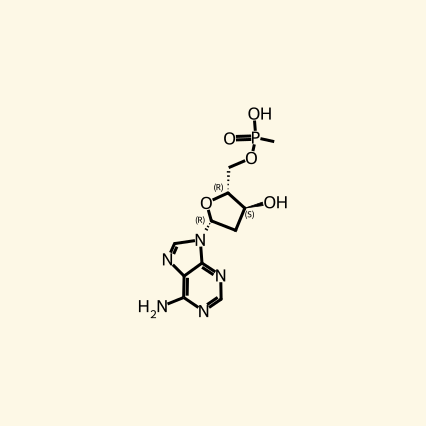 CP(=O)(O)OC[C@H]1O[C@@H](n2cnc3c(N)ncnc32)C[C@@H]1O